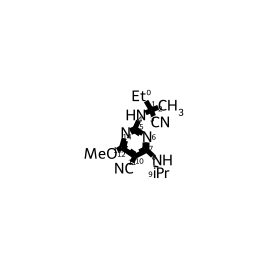 CCC(C)(C#N)Nc1nc(NC(C)C)c(C#N)c(OC)n1